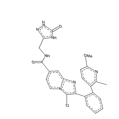 COc1ccc(-c2ccccc2-c2nc3cc(C(=O)NCc4n[nH]c(=O)[nH]4)ccn3c2Cl)c(C)n1